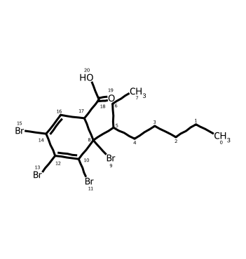 CCCCCC(CC)C1(Br)C(Br)=C(Br)C(Br)=CC1C(=O)O